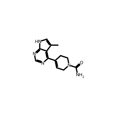 Cc1c[nH]c2ncnc(C3=CCN(C(N)=O)CC3)c12